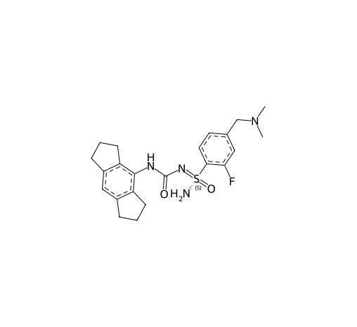 CN(C)Cc1ccc([S@@](N)(=O)=NC(=O)Nc2c3c(cc4c2CCC4)CCC3)c(F)c1